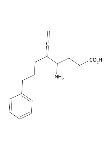 C=C=C(CCCc1ccccc1)C(N)CCC(=O)O